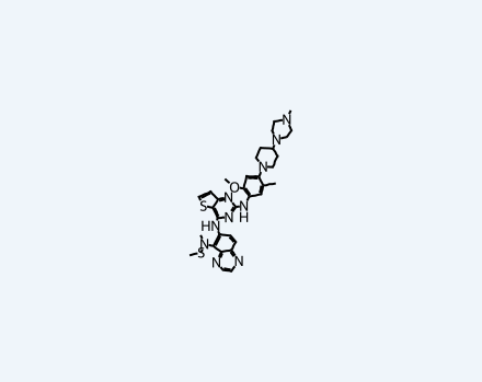 COc1cc(N2CCC(N3CCN(C)CC3)CC2)c(C)cc1Nc1nc(Nc2ccc3nccnc3c2N(C)SC)c2sccc2n1